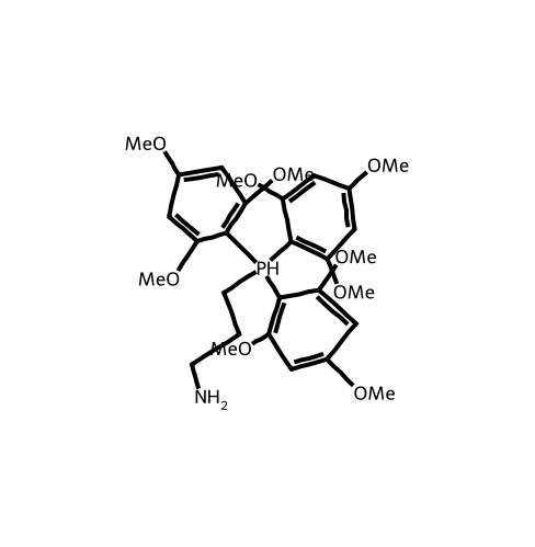 COc1cc(OC)c([PH](CCCN)(c2c(OC)cc(OC)cc2OC)c2c(OC)cc(OC)cc2OC)c(OC)c1